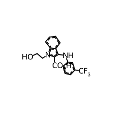 O=C(O)c1c(Nc2cccc(C(F)(F)F)c2)c2ccccc2n1CCO